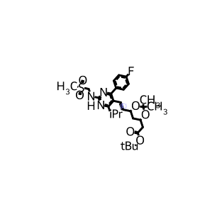 CC(C)c1nc(NCS(C)(=O)=O)nc(-c2ccc(F)cc2)c1/C=C/C1CC(CC(=O)OC(C)(C)C)OC(C)(C)O1